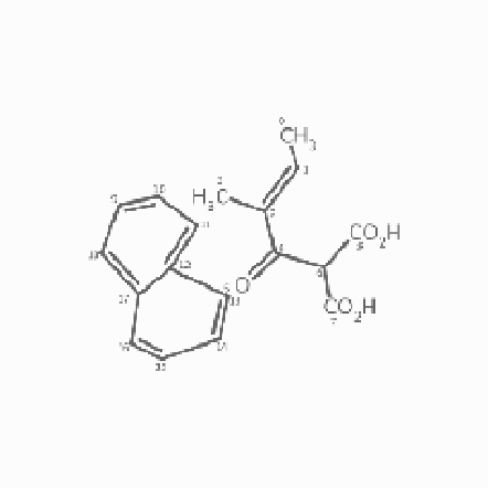 CC=C(C)C(=O)C(C(=O)O)C(=O)O.c1ccc2ccccc2c1